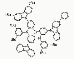 CC(C)(C)c1cc(N2c3cc(-n4c5ccccc5c5cc(-c6ccccc6)ccc54)ccc3B3c4ccc(-n5c6ccc(C(C)(C)C)cc6c6cc(C(C)(C)C)ccc65)cc4N(c4cc(C(C)(C)C)cc(C(C)(C)C)c4)c4cc(-n5c6ccccc6c6ccccc65)cc2c43)cc(C(C)(C)C)c1